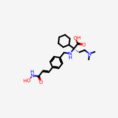 CN(C)CC[C@@](NCc1ccc(C=CC(=O)NO)cc1)(C(=O)O)C1CCCCC1